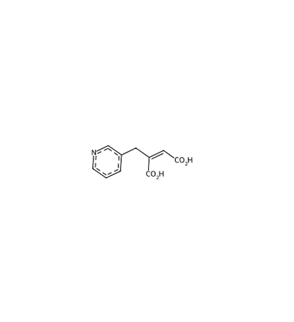 O=C(O)/C=C(/Cc1cccnc1)C(=O)O